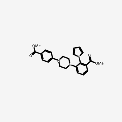 COC(=O)c1ccc(N2CCN(c3cccc(C(=O)OC)c3-n3cccc3)CC2)cc1